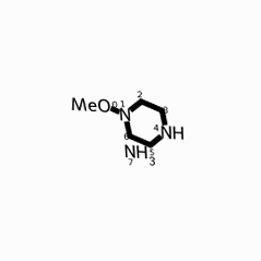 CON1CCNCC1.N